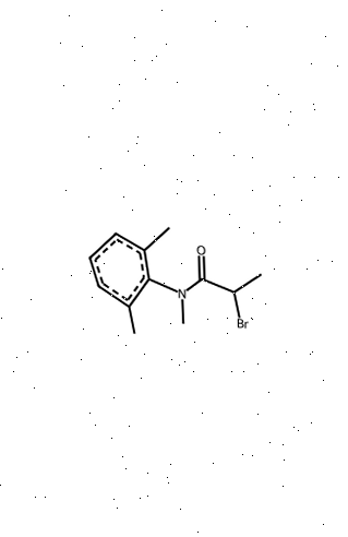 Cc1cccc(C)c1N(C)C(=O)C(C)Br